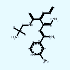 C=C\C=C(C(=C)NCC(C)(C)N)/C(=C\N)/C=C(\N)c1ccnc(N)c1